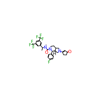 CC(c1cc(C(F)(F)F)cc(C(F)(F)F)c1)N(C)C(=O)N1CCC2CN(C3=CC(=O)CC3)C[C@H]2C1c1ccc(F)cc1